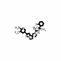 CC(C)(NC(=O)N1CC[C@@]2(CCn3nc(-c4cnc(N)c(C(F)(F)F)c4)cc32)C1)c1ccccc1F